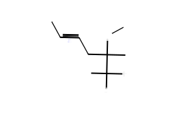 C/C=C/CC(C)(OC)C(F)(F)F